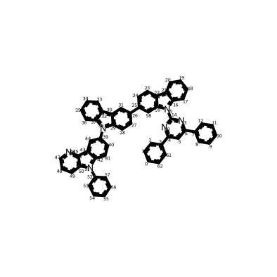 c1ccc(-c2cc(-c3ccccc3)nc(-n3c4ccccc4c4ccc(-c5ccc6c(c5)c5ccccc5n6-c5ccc6c(c5)c5ncccc5n6-c5ccccc5)cc43)n2)cc1